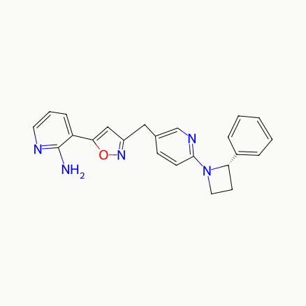 Nc1ncccc1-c1cc(Cc2ccc(N3CC[C@H]3c3ccccc3)nc2)no1